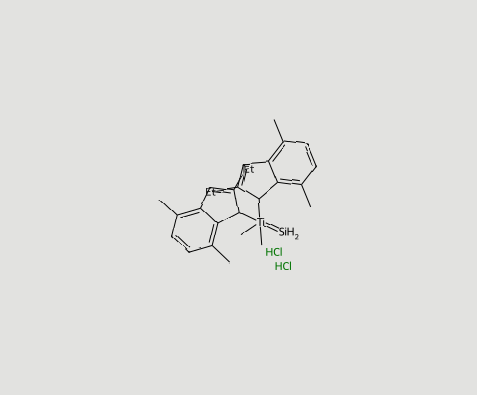 CCC1=Cc2c(C)ccc(C)c2[CH]1[Ti]([CH3])([CH3])(=[SiH2])[CH]1C(CC)=Cc2c(C)ccc(C)c21.Cl.Cl